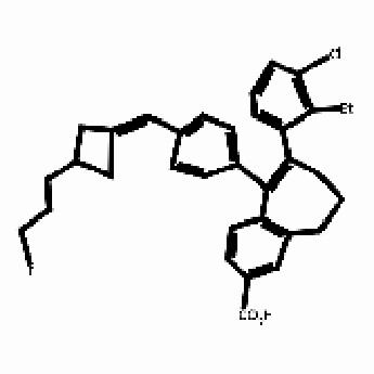 CCc1c(Cl)cccc1C1=C(c2ccc(C=C3CC(CCCF)C3)cc2)c2ccc(C(=O)O)cc2CCC1